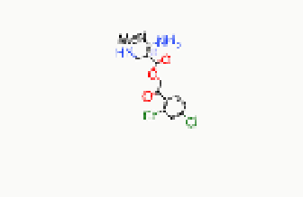 CN/C(N)=C(\C=N)C(=O)OCC(=O)c1ccc(Cl)cc1Cl